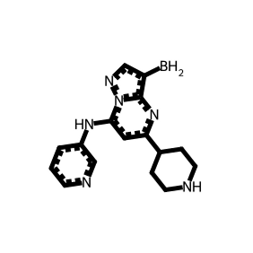 Bc1cnn2c(Nc3cccnc3)cc(C3CCNCC3)nc12